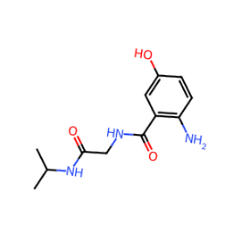 CC(C)NC(=O)CNC(=O)c1cc(O)ccc1N